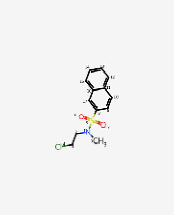 CN(CCCl)S(=O)(=O)c1ccc2ccccc2c1